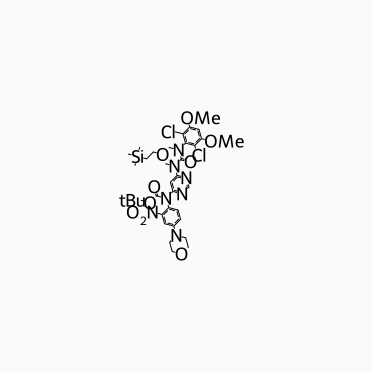 COc1cc(OC)c(Cl)c(N(COCC[Si](C)(C)C)C(=O)N(C)c2cc(N(C(=O)OC(C)(C)C)c3ccc(N4CCOCC4)cc3[N+](=O)[O-])ncn2)c1Cl